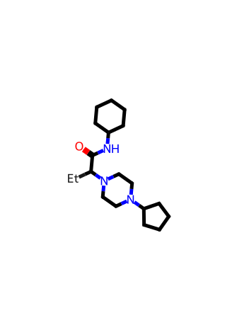 CCC(C(=O)NC1CCCCC1)N1CCN(C2CCCC2)CC1